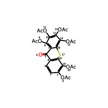 CC(=O)Oc1ccc2c(=O)c3c(OC(C)=O)c(OC(C)=O)c(OC(C)=O)c(OC(C)=O)c3sc2c1OC(C)=O